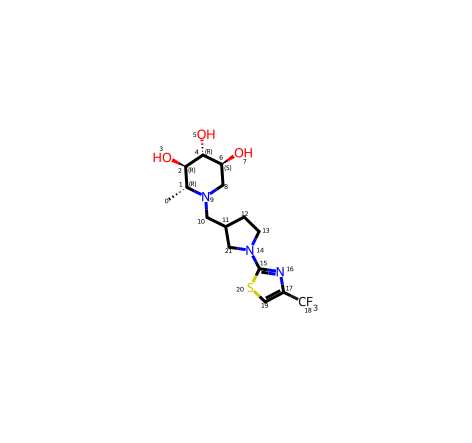 C[C@@H]1[C@@H](O)[C@H](O)[C@@H](O)CN1CC1CCN(c2nc(C(F)(F)F)cs2)C1